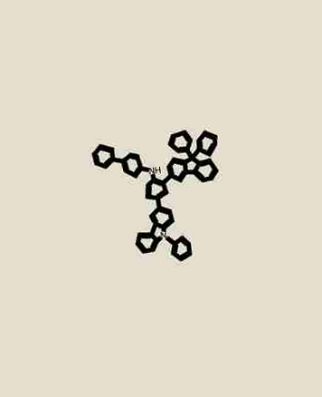 c1ccc(-c2ccc(Nc3ccc(-c4ccc5c(c4)c4ccccc4n5-c4ccccc4)cc3-c3ccc4c(c3)-c3ccccc3C4(c3ccccc3)c3ccccc3)cc2)cc1